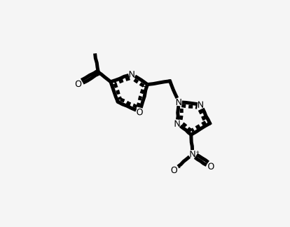 CC(=O)c1coc(Cn2ncc([N+](=O)[O-])n2)n1